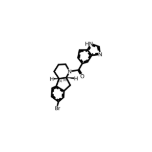 O=C(c1ccc2[nH]cnc2c1)N1CCC[C@H]2c3ccc(Br)cc3C[C@H]21